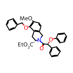 CCOC(=O)[C@@H]1Cc2c(ccc(OC)c2OCc2ccccc2)CN1C(=O)[C@@H](Oc1ccccc1)c1ccccc1